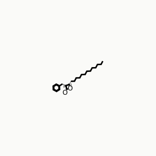 CCCCCCCCCCCCC[C@@H]1OC(=O)[C@@H]1Cc1ccccc1